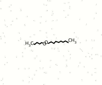 CCCCCCCCCCOOCCCCC